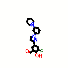 O=Cc1cc(-c2ccn(-c3cccc(N4CCCCC4)c3)n2)cc(F)c1O